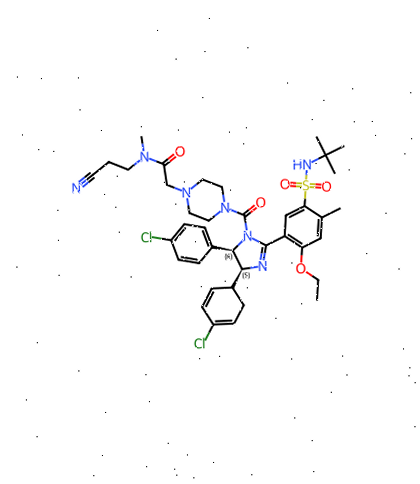 CCOc1cc(C)c(S(=O)(=O)NC(C)(C)C)cc1C1=N[C@@H](C2C=CC(Cl)=CC2)[C@@H](c2ccc(Cl)cc2)N1C(=O)N1CCN(CC(=O)N(C)CCC#N)CC1